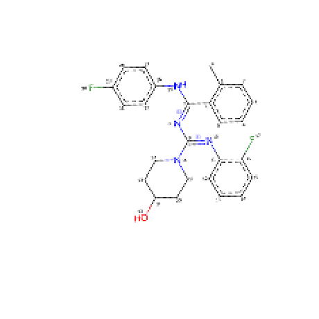 Cc1ccccc1/C(=N\C(=N\c1ccccc1F)N1CCC(O)CC1)Nc1ccc(F)cc1